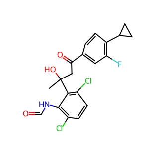 CC(O)(CC(=O)c1ccc(C2CC2)c(F)c1)c1c(Cl)ccc(Cl)c1NC=O